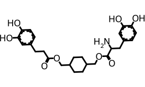 NC(Cc1ccc(O)c(O)c1)C(=O)OCC1CCC(COC(=O)CCc2ccc(O)c(O)c2)CC1